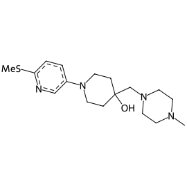 CSc1ccc(N2CCC(O)(CN3CCN(C)CC3)CC2)cn1